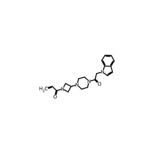 C=CC(=O)N1CC(N2CCN(C(=O)Cn3ccc4ccccc43)CC2)C1